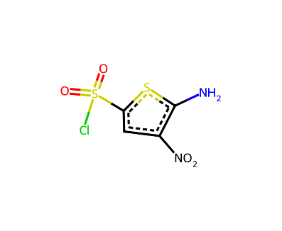 Nc1sc(S(=O)(=O)Cl)cc1[N+](=O)[O-]